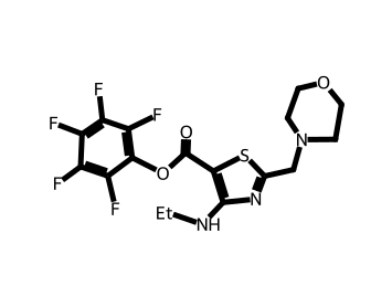 CCNc1nc(CN2CCOCC2)sc1C(=O)Oc1c(F)c(F)c(F)c(F)c1F